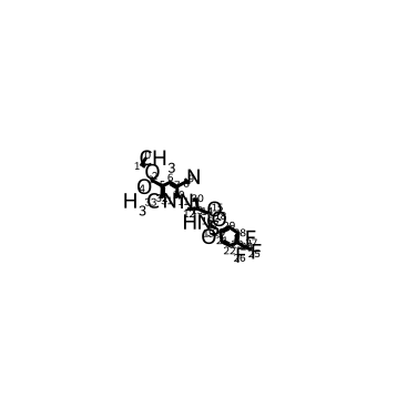 CCOC(=O)c1cc(C#N)c(N2CC(C(=O)NS(=O)(=O)c3ccc(C(F)(F)F)cc3)C2)nc1C